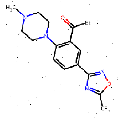 CCC(=O)c1cc(-c2noc(C(F)(F)F)n2)ccc1N1CCN(C)CC1